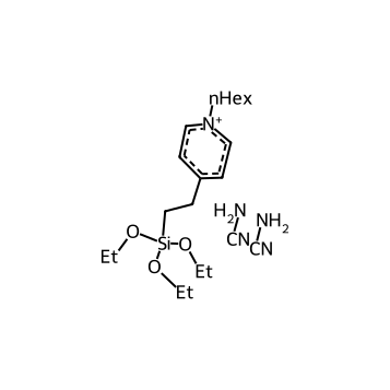 CCCCCC[n+]1ccc(CC[Si](OCC)(OCC)OCC)cc1.N#CN.N#CN